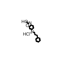 CN(CCCc1ccccc1)c1ccc2nc(O)oc2c1.Cl